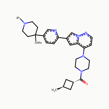 COC1(c2ccc(-c3cc4c(N5CCN(C(=O)[C@H]6C[C@H](C)C6)CC5)ccnn4c3)nc2)CCN(C(C)C)CC1